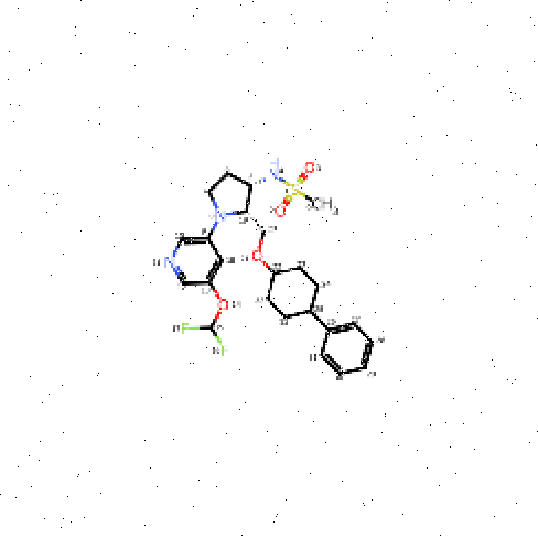 CS(=O)(=O)N[C@H]1CCN(c2cncc(OC(F)F)c2)[C@H]1COC1CCC(c2ccccc2)CC1